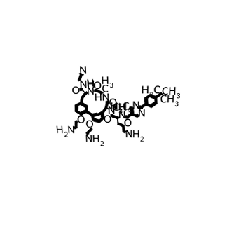 Cc1nc(-c2ccc(C(C)(C)C)cc2)ncc1C(=O)N[C@@H](CCCN)C(=O)N(C)[C@@H]1C(=O)N[C@@H](C)C(=O)N[C@H](C(=O)NCC#N)Cc2ccc(OCCN)c(c2)-c2cc1ccc2OCCN